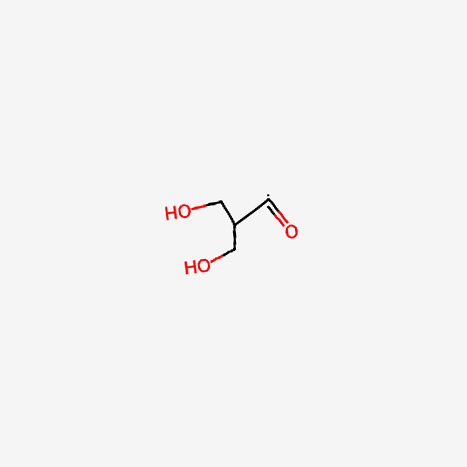 O=[C]C(CO)CO